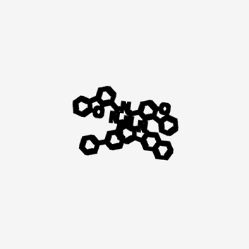 c1ccc(-c2cccc(-c3nc(-c4ccc5oc6ccccc6c5c4-n4c5ccccc5c5cc6ccccc6cc54)nc(-c4cccc5c4oc4ccccc45)n3)c2)cc1